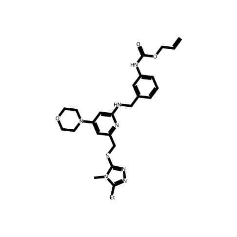 C=CCOC(=O)Nc1cccc(CNc2cc(N3CCOCC3)cc(CSc3nnc(CC)n3C)n2)c1